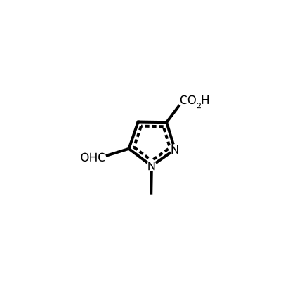 Cn1nc(C(=O)O)cc1C=O